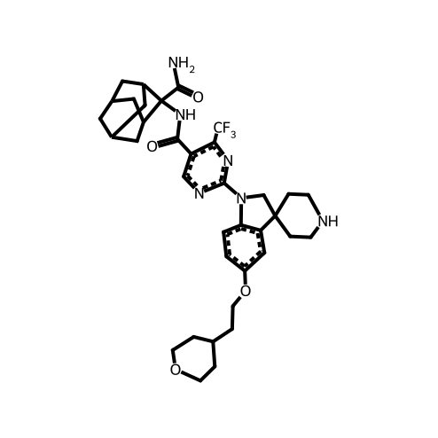 NC(=O)C1(NC(=O)c2cnc(N3CC4(CCNCC4)c4cc(OCCC5CCOCC5)ccc43)nc2C(F)(F)F)C2CC3CC(C2)CC1C3